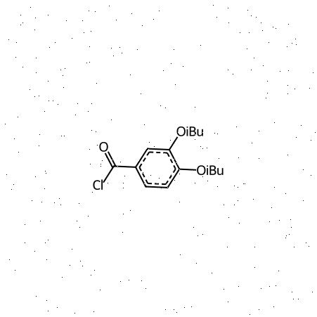 CC(C)COc1ccc(C(=O)Cl)cc1OCC(C)C